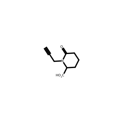 C#CCN1C(=O)CCCC1C(=O)O